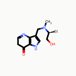 CC[C@@H](CO)N(C)Cc1c[nH]c2c1N=CCC2=O